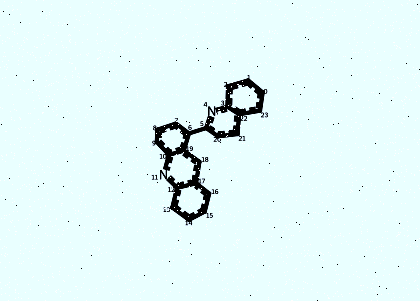 c1ccc2nc(-c3cccc4nc5ccccc5cc34)ccc2c1